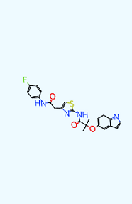 CC(C)(OC1=CCC2=NC=CC2=C1)C(=O)Nc1nc(CC(=O)Nc2ccc(F)cc2)cs1